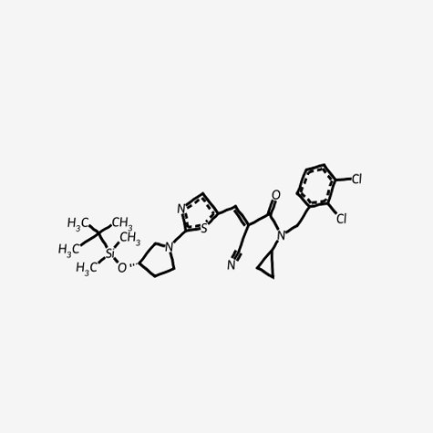 CC(C)(C)[Si](C)(C)O[C@H]1CCN(c2ncc(C=C(C#N)C(=O)N(Cc3cccc(Cl)c3Cl)C3CC3)s2)C1